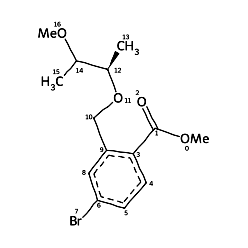 COC(=O)c1ccc(Br)cc1CO[C@H](C)C(C)OC